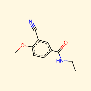 CCNC(=O)c1ccc(OC)c(C#N)c1